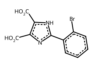 O=C(O)c1nc(-c2ccccc2Br)[nH]c1C(=O)O